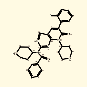 Cc1ccccc1-c1cc2cnc(N(C(=O)c3ccccc3)C3CCNCC3)nc2n(C2CCOCC2)c1=O